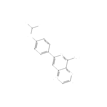 Nc1nc(-c2ccc(OC(F)F)cc2)cc2nccnc12